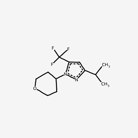 CC(C)c1cc(C(F)(F)F)n(C2CCOCC2)n1